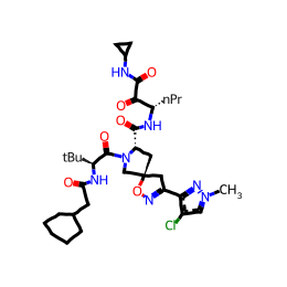 CCC[C@H](NC(=O)[C@@H]1C[C@]2(CC(c3nn(C)cc3Cl)=NO2)CN1C(=O)[C@@H](NC(=O)CC1CCCCC1)C(C)(C)C)C(=O)C(=O)NC1CC1